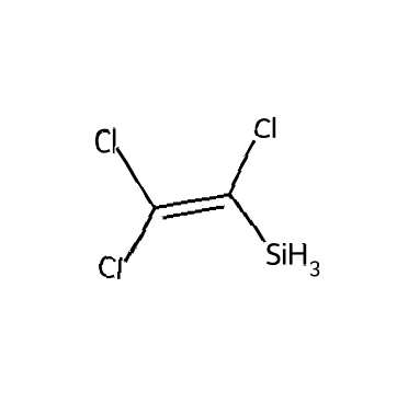 [SiH3]C(Cl)=C(Cl)Cl